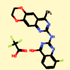 Cc1nc(Nc2nc(O)c3cccc(F)c3n2)nc2cc3c(cc12)OCCO3.O=C(O)C(F)(F)F